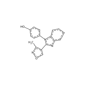 Cc1nocc1-c1nc2ccccc2n1-c1ccc(O)cc1